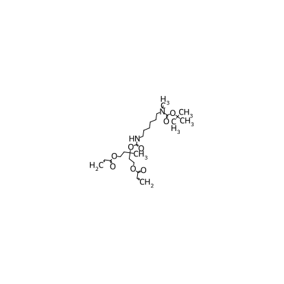 C=CC(=O)OCCC(C)(CCOC(=O)C=C)OC(=O)NCCCCCCN(C)C(=O)OC(C)(C)C